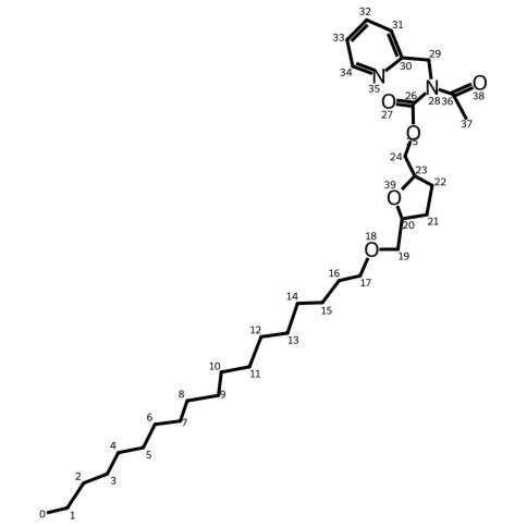 CCCCCCCCCCCCCCCCCCOCC1CCC(COC(=O)N(Cc2ccccn2)C(C)=O)O1